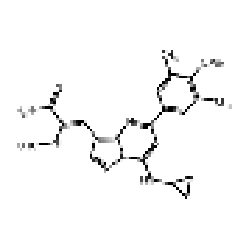 COc1c(C)cc(-c2cc(NC3CC3)n3ncc(/C=C(\NC=O)C(N)=O)c3n2)cc1C